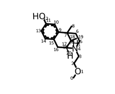 COCCN1CCC2(C)c3cc(O)ccc3C[C@@H]1[C@@H]2C